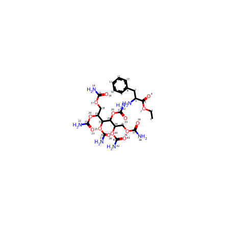 CCOC(=O)C(N)Cc1ccccc1.NC(=O)OCC(OC(N)=O)C(OC(N)=O)C(OC(N)=O)C(COC(N)=O)OC(N)=O